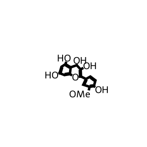 COc1cc(C2=C(O)C(O)c3c(O)cc(O)cc3O2)ccc1O